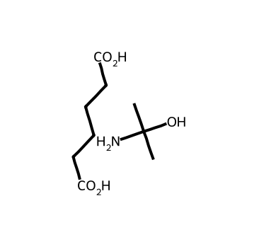 CC(C)(N)O.O=C(O)CCCCC(=O)O